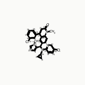 Cn1cncc1C(c1ccc2c(c1)c(-c1cccc(Cl)c1)cc(=O)n2C)N(c1ccc(Cl)cn1)C1CC1